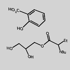 CCCCC(CC)C(=O)OCC(O)CO.O=C(O)c1ccccc1O